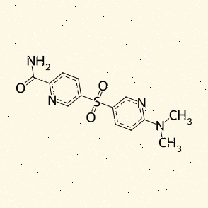 CN(C)c1ccc(S(=O)(=O)c2ccc(C(N)=O)nc2)cn1